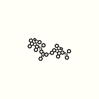 c1ccc(N(c2ccccc2)c2ccc3c4c(c5ccccc5c3c2)-c2c(ccc3cc(-c5ccc6c(c5)c5cc(N(c7ccccc7)c7cc8c(c9ccccc79)-c7c(c9ccccc9c9ccccc79)C87c8ccccc8-c8ccccc87)ccc5n6-c5ccccc5)ccc23)C42c3ccccc3-c3ccccc32)cc1